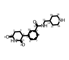 O=C1CCC(c2cccc(C(=O)NCC3CCNCC3)c2)C(=O)N1